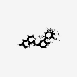 CC1(C)C(N)=N[C@](C)(c2cc(Nc3nccc4cc(Cl)cnc34)ccc2F)CS1(=O)=O